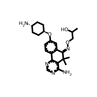 CC(O)CO/N=C1\c2cc(O[C@H]3CC[C@H](N)CC3)ccc2-c2ncnc(N)c2C1(C)C